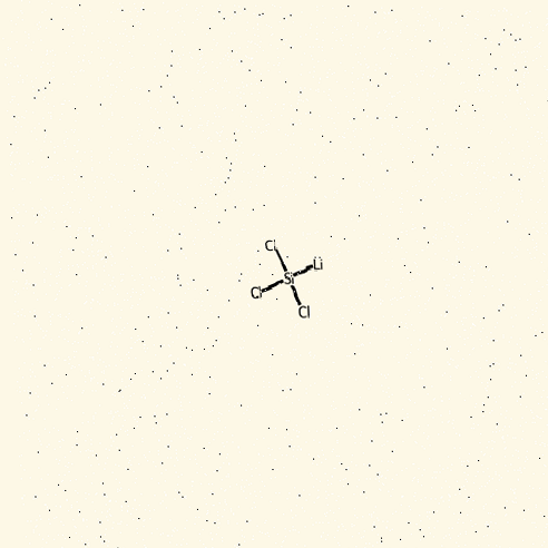 [Li][Si](Cl)(Cl)Cl